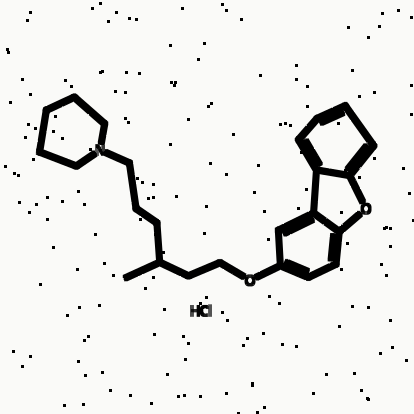 CC(CCCN1CCCCC1)CCOc1ccc2oc3ccccc3c2c1.Cl